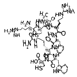 C[C@@H](NC(=O)[C@H](CS)NC(=O)[C@@H](N)CCCNC(=N)N)C(=O)N[C@@H](CCCNC(=N)N)C(=O)N[C@H](Cc1ccccc1)C(=O)N[C@@H](CCCNC(N)=O)C(=O)N[C@H](Cc1c[nH]c2ccccc12)C(=O)N[C@@H](CS)C(=O)O